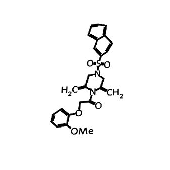 C=C1CN(S(=O)(=O)c2ccc3ccccc3c2)CC(=C)N1C(=O)COc1ccccc1OC